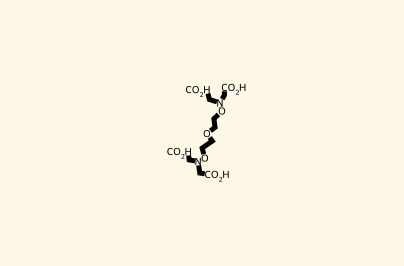 O=C(O)CN(CC(=O)O)OCCOCCON(CC(=O)O)CC(=O)O